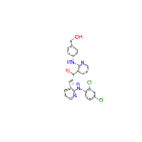 O=C(/C=C/c1cccnc1Nc1ccc(Cl)cc1Cl)c1cccnc1Nc1ccc(CO)cc1